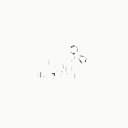 C=C(N[C@@H](CC(=O)OC(C)(C)C)C(=O)O)OCC1c2ccccc2-c2ccccc21